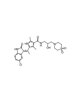 C/C(=C1/C(=O)Nc2ccc(Cl)cc21)c1[nH]c(C)c(C(=O)NCC(O)CN2CCS(=O)(=O)CC2)c1C